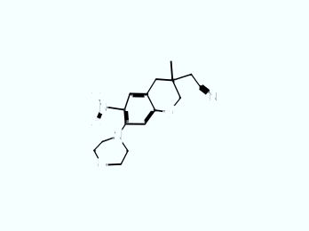 CC1(CC#N)COc2cc(N3CCOCC3)c([N+](=O)[O-])cc2C1